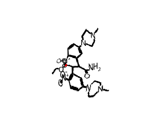 CCOC(=O)C(c1cc(N2CCN(C)CC2)ccc1[N+](=O)[O-])C(C(N)=O)c1cc(N2CCN(C)CC2)ccc1[N+](=O)[O-]